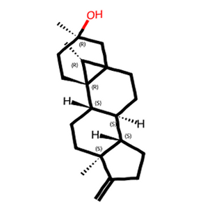 C=C1CC[C@H]2[C@@H]3CCC45C[C@](C)(O)CC[C@]4([C@@H]5C)[C@H]3CC[C@]12C